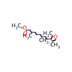 CCOC(=O)/C=C(C)/C=C/C=C(C)/C=C/c1c(C)coc1C